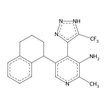 Cc1ncc(C2CCCc3ccccc32)c(-c2nn[nH]c2C(F)(F)F)c1N